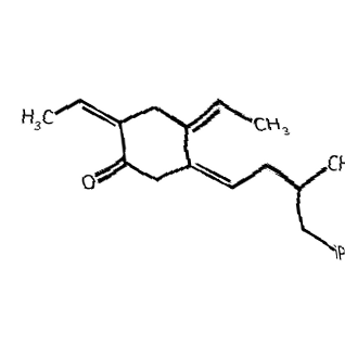 C/C=C1/CC(=C/C)/C(=C\CC(C)CC(C)C)CC1=O